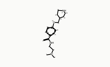 C=C(NCCN(C)C)c1ccc(OCC2CCNCC2)cc1